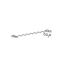 CCCCCCCCCCCCCCCCCCCCCCCC(CCCCCCCC)C(=O)O